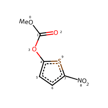 COC(=O)Oc1ccc([N+](=O)[O-])s1